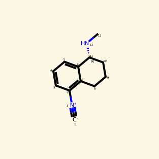 [C-]#[N+]c1cccc2c1CCC[C@H]2NC